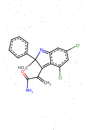 C=C(C(N)=O)C1=c2c(Cl)cc(Cl)cc2=NC1(C(=O)O)c1ccccc1